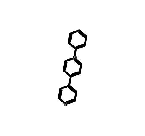 c1ccc(-[n+]2ccc(-c3ccncc3)cc2)cc1